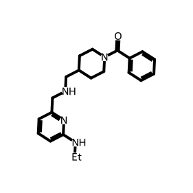 CCNc1cccc(CNCC2CCN(C(=O)c3ccccc3)CC2)n1